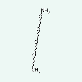 C=CCCCCCOCCCCCOCCCCCOCCCCCOCCN